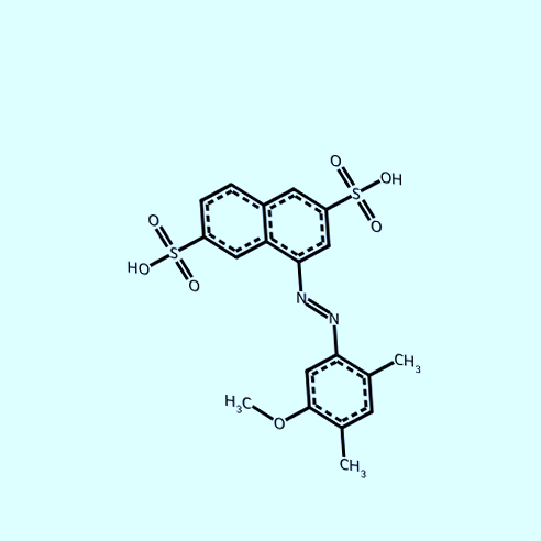 COc1cc(N=Nc2cc(S(=O)(=O)O)cc3ccc(S(=O)(=O)O)cc23)c(C)cc1C